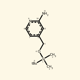 CC(C)(C)[Si](C)(C)OCc1ccnc(N)c1